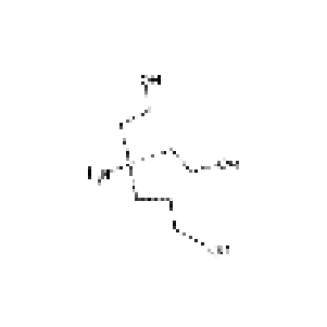 NC(CCO)(CCO)CCCO